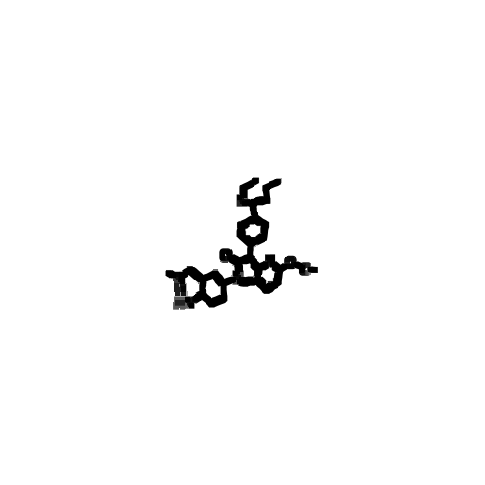 C/C=N\C(=C/CC)c1ccc(-c2c(=O)n(C3=C/C(=C/NC)C(=N)C=C3)cc3ccc(OCC)nc23)cc1